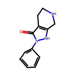 O=c1c2c([nH]n1-c1ccccc1)CNCC2